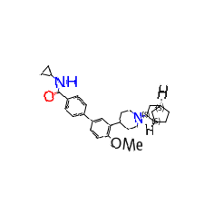 COc1ccc(-c2ccc(C(=O)NC3CC3)cc2)cc1C1CCN([C@H]2C[C@H]3CC[C@H]2C3)CC1